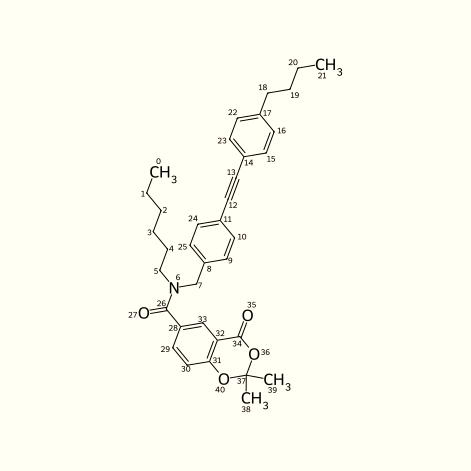 CCCCCCN(Cc1ccc(C#Cc2ccc(CCCC)cc2)cc1)C(=O)c1ccc2c(c1)C(=O)OC(C)(C)O2